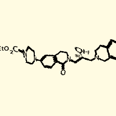 CCOC(=O)N1CCN(c2ccc3c(c2)CCN(C[C@H](O)CN2CCc4ccccc4C2)C3=O)CC1